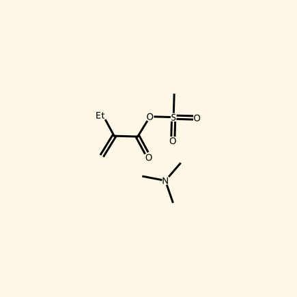 C=C(CC)C(=O)OS(C)(=O)=O.CN(C)C